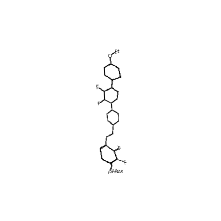 CCCCCCC1CCC(CCC2CCC(C3CCC(C4CCC(OCC)CC4)C(F)C3F)CC2)C(F)[C@H]1F